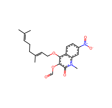 CC(C)=CCC/C(C)=C/COc1c(OC=O)c(=O)n(C)c2cc([N+](=O)[O-])ccc12